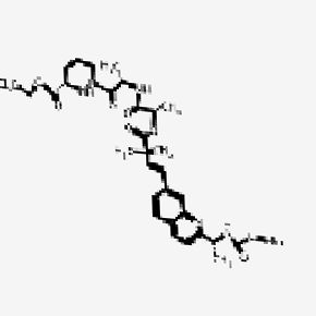 C[C@H](NC(=O)[C@H](C)OC(=O)C(C)(C)/C=C/c1ccc2ccc([C@@H](C)NC(=O)OC(C)(C)C)nc2c1)C(=O)N1CCC[C@@H](C(=O)OCC(Cl)(Cl)Cl)N1